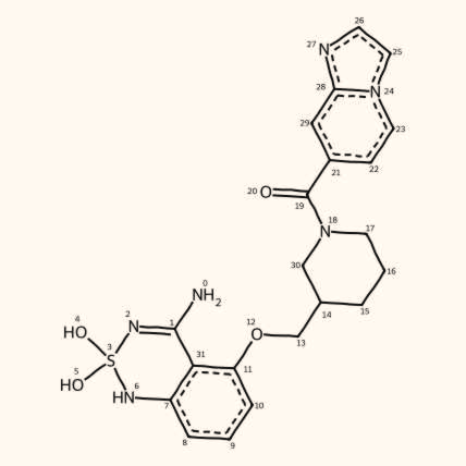 NC1=NS(O)(O)Nc2cccc(OCC3CCCN(C(=O)c4ccn5ccnc5c4)C3)c21